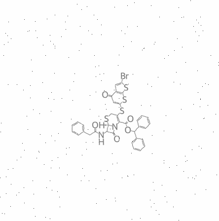 O=C(Cc1ccccc1)NC1C(=O)N2C(C(=O)OC(c3ccccc3)c3ccccc3)=C(Sc3cc(=O)c4cc(Br)sc4s3)CS[C@@H]12